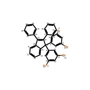 Brc1cc(Br)cc(C2(c3cc(Br)cc(Br)c3)C(c3ccccc3)=C(c3ccccc3)c3ccccc32)c1